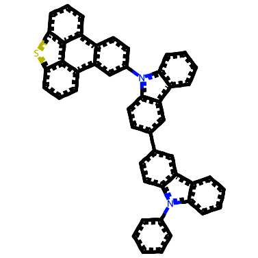 c1ccc(-n2c3ccccc3c3cc(-c4ccc5c(c4)c4ccccc4n5-c4ccc5c(c4)c4cccc6sc7cccc5c7c64)ccc32)cc1